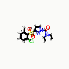 CCN(CC)C(=O)n1ccc(S(=O)(=O)c2c(C)cccc2Cl)n1